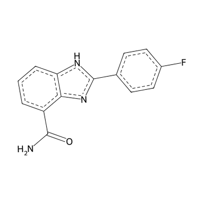 NC(=O)c1cccc2[nH]c(-c3ccc(F)cc3)nc12